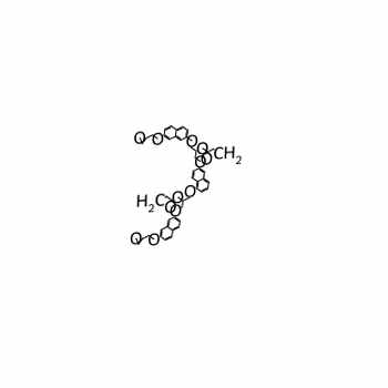 C=CC(=O)OC(COc1ccc2ccc(OCC3CO3)cc2c1)COc1ccc2c(OCC(COc3ccc4ccc(OCC5CO5)cc4c3)OC(=O)C=C)cccc2c1